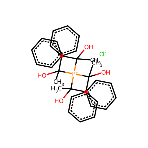 CC(O)(c1ccccc1)[P+](C(C)(O)c1ccccc1)(C(C)(O)c1ccccc1)C(C)(O)c1ccccc1.[Cl-]